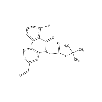 C=Cc1cccc(N(CC(=O)OC(C)(C)C)C(=O)c2c(F)cccc2F)c1